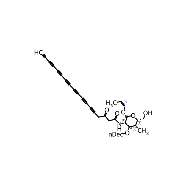 C#CC#CC#CC#CC#CC#CC#CCC(=O)CC(=O)N[C@H]1[C@H](O/C=C\C)O[C@H](CO)[C@@H](C)[C@@H]1OCCCCCCCCCC